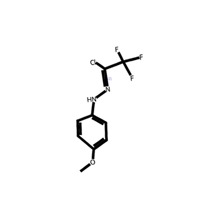 COc1ccc(N/N=C(\Cl)C(F)(F)F)cc1